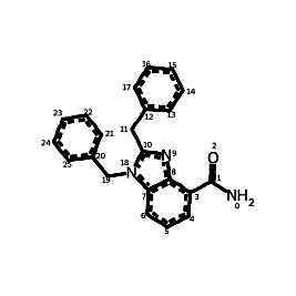 NC(=O)c1cccc2c1nc(Cc1ccccc1)n2Cc1ccccc1